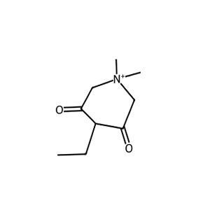 CCC1C(=O)C[N+](C)(C)CC1=O